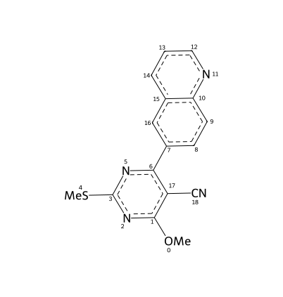 COc1nc(SC)nc(-c2ccc3ncccc3c2)c1C#N